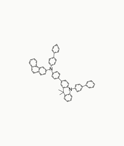 CC1(C)c2ccccc2N(c2ccc(-c3ccccc3)cc2)c2ccc(-c3ccc(N(c4ccc(-c5ccccc5)cc4)c4ccc5ccc6ccccc6c5c4)cc3)cc21